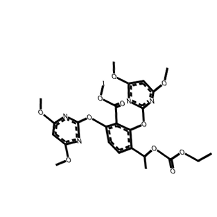 CCOC(=O)OC(C)c1ccc(Oc2nc(OC)cc(OC)n2)c(C(=O)OI)c1Oc1nc(OC)cc(OC)n1